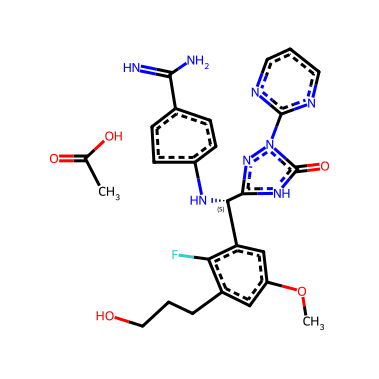 CC(=O)O.COc1cc(CCCO)c(F)c([C@H](Nc2ccc(C(=N)N)cc2)c2nn(-c3ncccn3)c(=O)[nH]2)c1